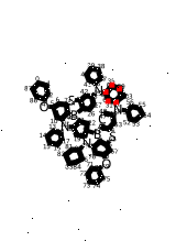 c1ccc(Oc2cc3c4c(c2)N(c2ccccc2)c2cc5c(cc2B4c2ccc(N(c4ccccc4)c4ccccc4)cc2S3)B2c3ccc(N(c4ccccc4)c4ccccc4)cc3Sc3cc(Oc4ccccc4)cc(c32)N5c2ccccc2)cc1